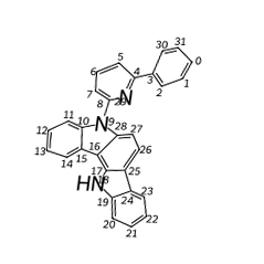 c1ccc(-c2cccc(-n3c4ccccc4c4c5[nH]c6ccccc6c5ccc43)n2)cc1